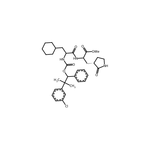 COC(=O)C(C[C@@H]1CCNC1=O)NC(=O)C(CC1CCCCC1)NC(=O)OC(c1ccccc1)C(C)(C)c1cccc(Cl)c1